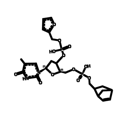 Cc1cn([C@H]2CC(OP(=O)(O)OCc3ccco3)[C@@H](COP(=O)(O)OCC3CC4C=CC3C4)O2)c(=O)[nH]c1=O